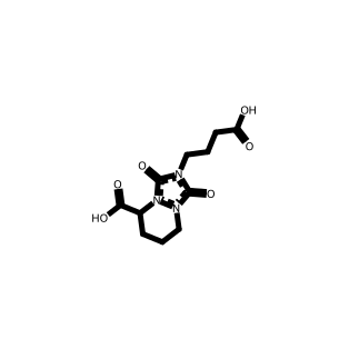 O=C(O)CCCn1c(=O)n2n(c1=O)C(C(=O)O)CCC2